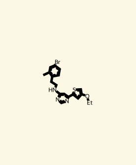 CCOc1csc(-c2cc(NCCc3ccc(Br)cc3C)ncn2)c1